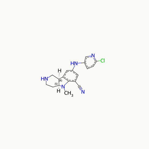 CN1c2c(C#N)cc(Nc3ccc(Cl)nc3)cc2[C@@H]2CNCC[C@@H]21